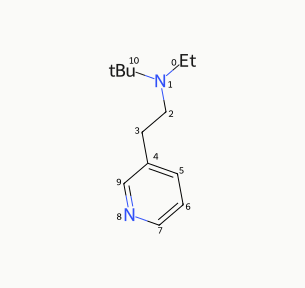 CCN(CCc1cccnc1)C(C)(C)C